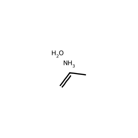 C=CC.N.O